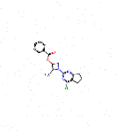 CC1C(OC(=O)c2ccccc2)CN1c1nc(Cl)c2c(n1)CCC2